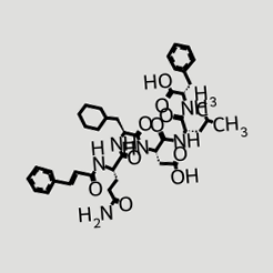 CC(C)C[C@H](NC(=O)[C@H](CC(=O)O)NC(=O)[C@H](CC1CCCCC1)NC(=O)[C@H](CCC(N)=O)NC(=O)/C=C/c1ccccc1)C(=O)N[C@@H](Cc1ccccc1)C(=O)O